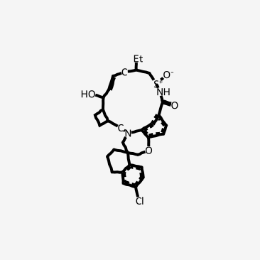 CCC1C/C=C/C(O)C2CCC2CN2CC3(CCCc4cc(Cl)ccc43)COc3ccc(cc32)C(=O)N[S+]([O-])C1